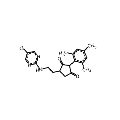 Cc1cc(C)c(C2C(=O)CC(CCNc3ncc(Cl)cn3)C2=O)c(C)c1